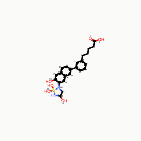 O=C(O)CCCCc1cccc(-c2ccc3cc(O)c(N4CC(O)NS4(O)O)cc3c2)c1